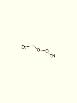 CCCOOC#N